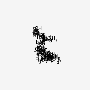 CC[C@H](C)[C@@H]([C@@H](CC(=O)N1CCC[C@H]1[C@H](OC)[C@@H](C)C(=O)N[C@@H](Cc1ccccc1)C(=O)NCc1ccc(NC(=O)[C@H](CCCNC(N)=O)NC(=O)[C@@H](NC(=O)CCCN2CCC(C(=O)O)CC2C(F)(F)F)C(C)C)cc1)OC)N(C)C(=O)[C@@H](NC(=O)[C@H](C(C)C)N(C)C)C(C)C